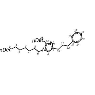 CCCCCCCCCCCCCCCCn1cc(CCCc2ccccc2)nc1CCCCCCCCCC